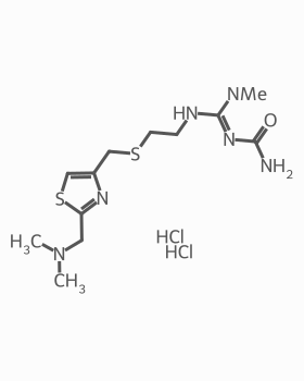 CNC(=NC(N)=O)NCCSCc1csc(CN(C)C)n1.Cl.Cl